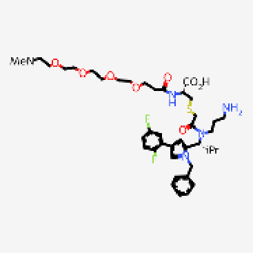 CNCCOCCOCCOCCOCCC(=O)N[C@@H](CSCC(=O)N(CCCN)[C@@H](c1cc(-c2cc(F)ccc2F)cn1Cc1ccccc1)C(C)C)C(=O)O